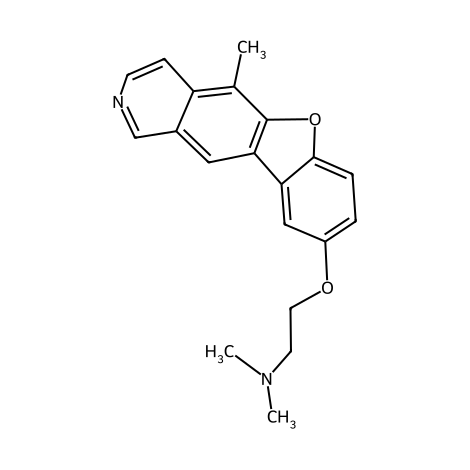 Cc1c2ccncc2cc2c1oc1ccc(OCCN(C)C)cc12